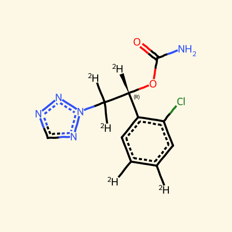 [2H]c1cc(Cl)c([C@@]([2H])(OC(N)=O)C([2H])([2H])n2ncnn2)cc1[2H]